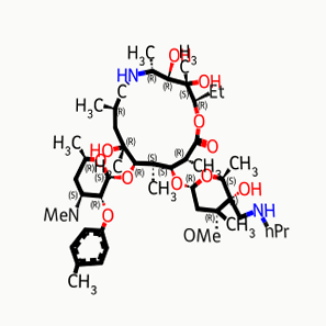 CCCNC[C@]1(O)[C@H](C)O[C@@H](O[C@H]2[C@H](C)[C@@H](O[C@@H]3O[C@H](C)C[C@H](NC)[C@H]3Oc3ccc(C)cc3)[C@](C)(O)C[C@@H](C)CN[C@H](C)[C@@H](O)[C@](C)(O)[C@@H](CC)OC(=O)[C@@H]2C)C[C@@]1(C)OC